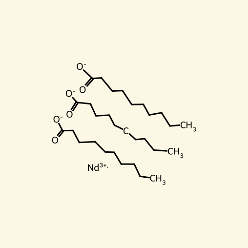 CCCCCCCCCC(=O)[O-].CCCCCCCCCC(=O)[O-].CCCCCCCCCC(=O)[O-].[Nd+3]